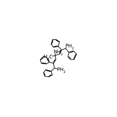 CC(N)(/C=C(\c1ccccc1)C(P)c1ccccc1)/C=C(\c1ccccc1)C(P)c1ccccc1